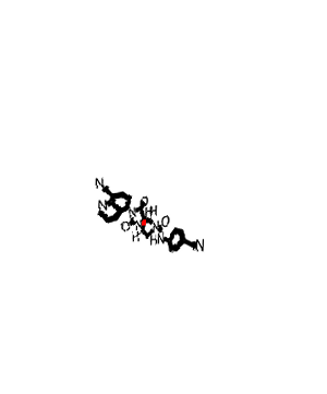 N#Cc1ccc(NC(=O)N2C[C@@H]3C[C@H]2[C@H]2C(=O)N(c4ccc(C#N)c5ncccc45)C(=O)N32)cc1